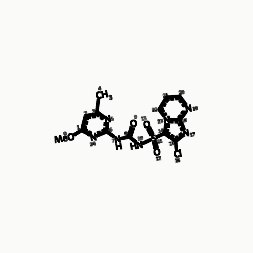 COc1cc(C)nc(NC(=O)NS(=O)(=O)c2c(Cl)nc3ncccn23)n1